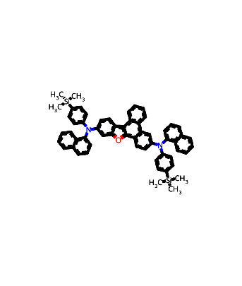 C[Si](C)(C)c1ccc(N(c2ccc3c(c2)oc2c4ccc(N(c5ccc([Si](C)(C)C)cc5)c5cccc6ccccc56)cc4c4ccccc4c32)c2cccc3ccccc23)cc1